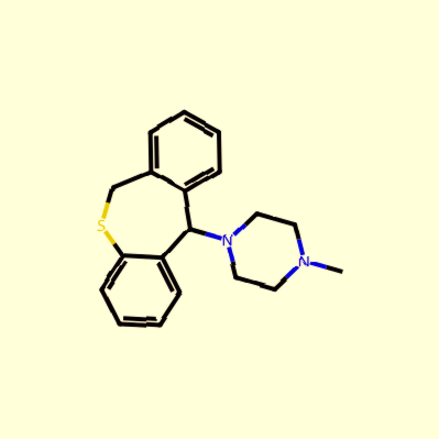 CN1CCN(C2c3ccccc3CSc3ccccc32)CC1